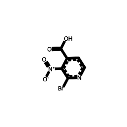 O=C(O)c1ccnc(Br)c1[N+](=O)[O-]